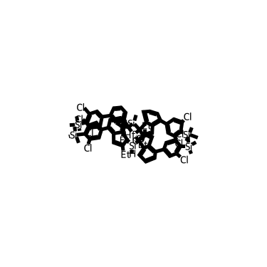 CCC1=Cc2c(-c3cc(Cl)c([Si](C)(C)C)c(Cl)c3)cccc2[C]12[SiH](C)[C]1(C(CC)=Cc3c(-c4cc(Cl)c([Si](C)(C)C)c(Cl)c4)cccc31)[Hf]21([Cl])([Cl])[C]2(C(CC)=Cc3c(-c4cc(Cl)c([Si](C)(C)C)c(Cl)c4)cccc32)[SiH](C)[C]12C(CC)=Cc1c(-c3cc(Cl)c([Si](C)(C)C)c(Cl)c3)cccc12